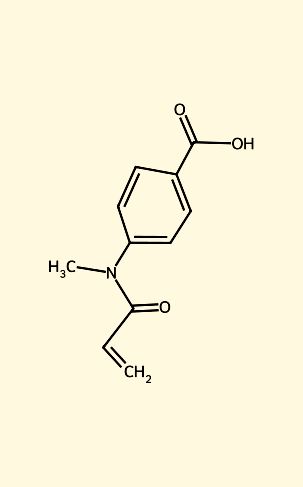 C=CC(=O)N(C)c1ccc(C(=O)O)cc1